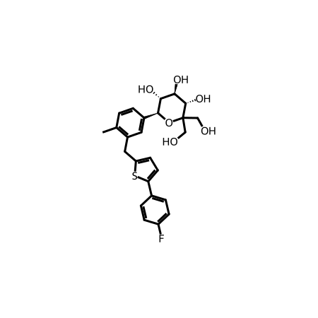 Cc1ccc([C@@H]2OC(CO)(CO)[C@@H](O)[C@H](O)[C@H]2O)cc1Cc1ccc(-c2ccc(F)cc2)s1